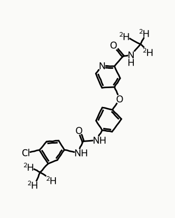 [2H]C([2H])([2H])NC(=O)c1cc(Oc2ccc(NC(=O)Nc3ccc(Cl)c(C([2H])([2H])[2H])c3)cc2)ccn1